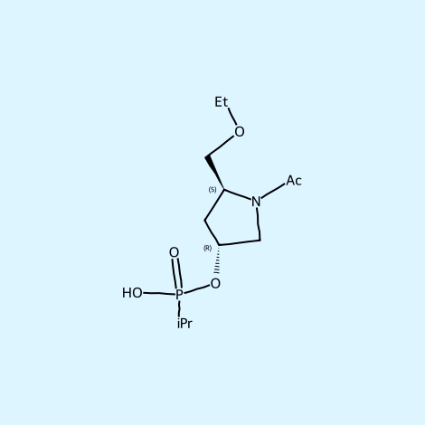 CCOC[C@@H]1C[C@@H](OP(=O)(O)C(C)C)CN1C(C)=O